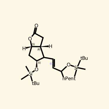 CCCCCC(/C=C/C1[C@@H](O[Si](C)(C)C(C)(C)C)C[C@@H]2OC(=O)C[C@H]12)O[Si](C)(C)C(C)(C)C